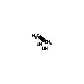 C=C.[LiH].[LiH]